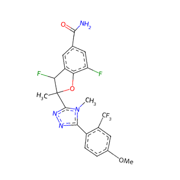 COc1ccc(-c2nnc(C3(C)Oc4c(F)cc(C(N)=O)cc4C3F)n2C)c(C(F)(F)F)c1